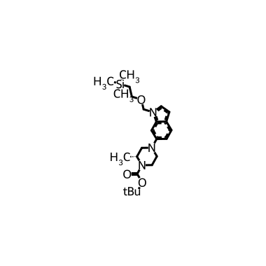 C[C@@H]1CN(c2ccc3ccn(COCC[Si](C)(C)C)c3c2)CCN1C(=O)OC(C)(C)C